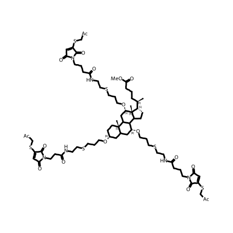 COC(=O)CCC[C@@H](C)[C@@H]1CCC2C3C(C[C@H](OCCCSCCNC(=O)CCCN4C(=O)C=C(SCC(C)=O)C4=O)[C@@]21C)[C@@]1(C)CC[C@@H](OCCCSCCNC(=O)CCN2C(=O)C=C(SCC(C)=O)C2=O)CC1C[C@H]3OCCCSCCNC(=O)CCCN1C(=O)C=C(SCC(C)=O)C1=O